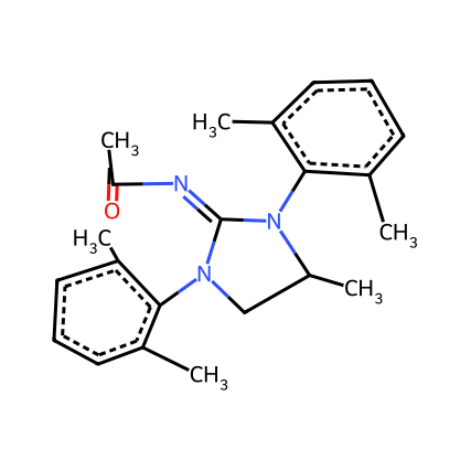 CC(=O)N=C1N(c2c(C)cccc2C)CC(C)N1c1c(C)cccc1C